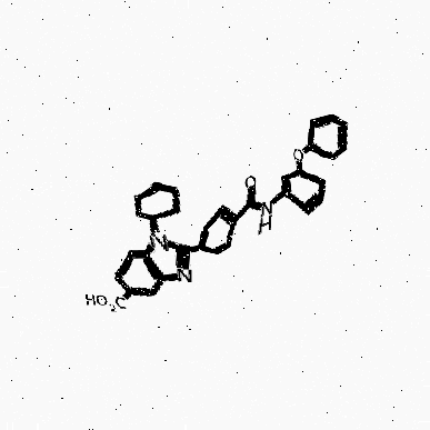 O=C(O)c1ccc2c(c1)nc(-c1ccc(C(=O)Nc3cccc(Oc4ccccc4)c3)cc1)n2C1CCCCC1